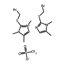 CC(=O)CSc1n(C)c(C)c[n+]1C.CC(=O)CSc1ncc(C)n1C.O=S(=O)([O-])C(F)(F)F